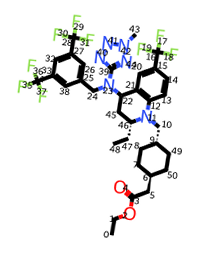 CCOC(=O)C[C@H]1CC[C@H](CN2c3ccc(C(F)(F)F)cc3C(N(Cc3cc(C(F)(F)F)cc(C(F)(F)F)c3)c3nnn(C)n3)C[C@H]2CC)CC1